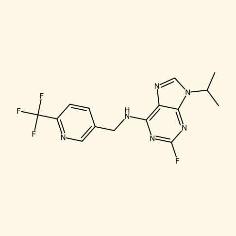 CC(C)n1cnc2c(NCc3ccc(C(F)(F)F)nc3)nc(F)nc21